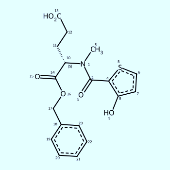 CN(C(=O)c1sccc1O)[C@@H](CCC(=O)O)C(=O)OCc1ccccc1